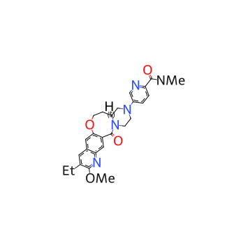 CCc1cc2cc3c(cc2nc1OC)C(=O)N1CCN(c2ccc(C(=O)NC)nc2)C[C@@H]1CCO3